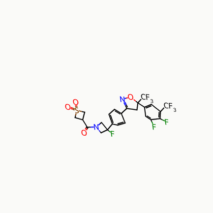 O=C(C1CS(=O)(=O)C1)N1CC(F)(c2ccc(C3=NOC(c4cc(F)c(F)c(C(F)(F)F)c4)(C(F)(F)F)C3)cc2)C1